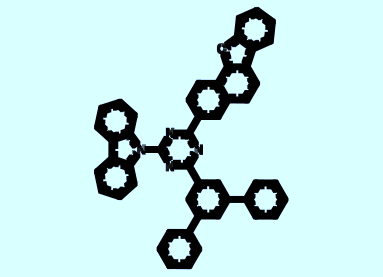 c1ccc(-c2cc(-c3ccccc3)cc(-c3nc(-c4ccc5c(ccc6c7ccccc7oc56)c4)nc(-n4c5ccccc5c5ccccc54)n3)c2)cc1